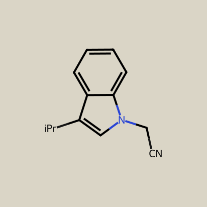 CC(C)c1cn(CC#N)c2ccccc12